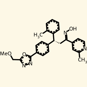 COCc1nnc(-c2ccc([C@@H](C/C(=N/O)c3ccnc(C)c3)c3ccccc3C)cc2)o1